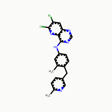 Cc1ccc(Cc2ccc(Nc3ncnc4cc(Br)c(Cl)nc34)cc2C)cn1